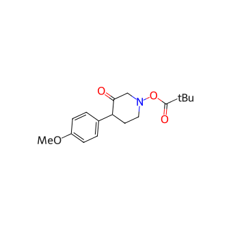 COc1ccc(C2CCN(OC(=O)C(C)(C)C)CC2=O)cc1